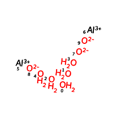 O.O.O.O.O.[Al+3].[Al+3].[O-2].[O-2].[O-2]